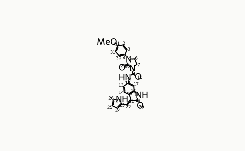 COc1ccc(N2CCN(C(=O)Nc3ccc4c(c3)NC(=O)C4=Cc3ccc[nH]3)C2=O)cc1